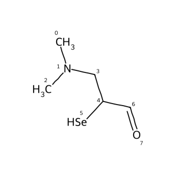 CN(C)CC([SeH])C=O